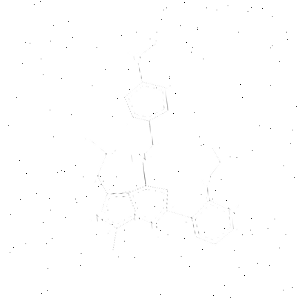 CCOc1ncccc1-c1cc(NCc2ccc(OC)cc2)c2c([C@H](C)CC)nc(C)n2n1